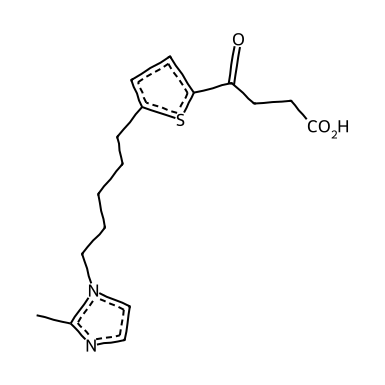 Cc1nccn1CCCCCc1ccc(C(=O)CCC(=O)O)s1